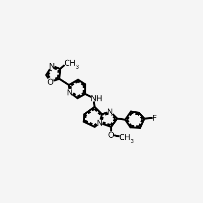 COc1c(-c2ccc(F)cc2)nc2c(Nc3ccc(-c4ocnc4C)nc3)cccn12